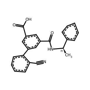 C[C@@H](NC(=O)c1cc(C(=O)O)cc(-c2ccccc2C#N)c1)c1ccccc1